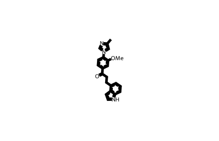 COc1cc(C(=O)CCc2cccc3[nH]ccc23)ccc1-n1cnc(C)c1